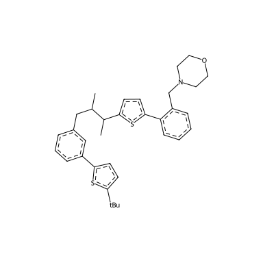 CC(Cc1cccc(-c2ccc(C(C)(C)C)s2)c1)C(C)c1ccc(-c2ccccc2CN2CCOCC2)s1